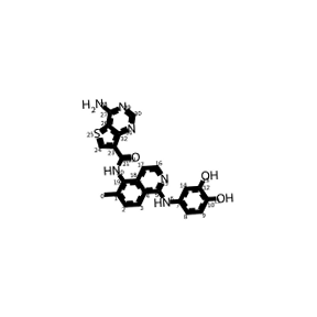 Cc1ccc2c(Nc3ccc(O)c(O)c3)nccc2c1NC(=O)c1csc2c(N)ncnc12